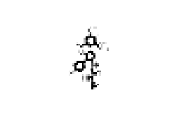 C[C@H](OC1CCC(N(C)CC(=O)NC2CC2)C1c1ccc(F)cc1)c1cc(C(F)(F)F)cc(C(F)(F)F)c1